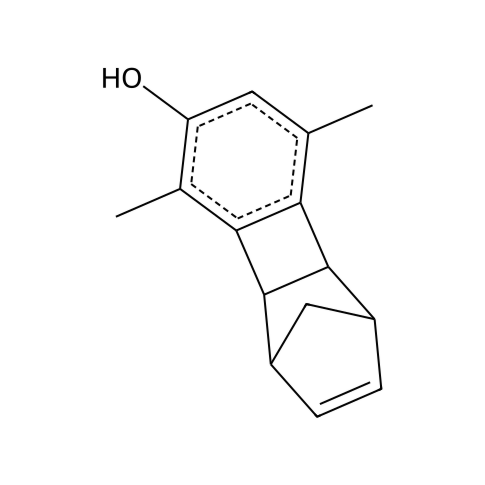 Cc1cc(O)c(C)c2c1C1C3C=CC(C3)C21